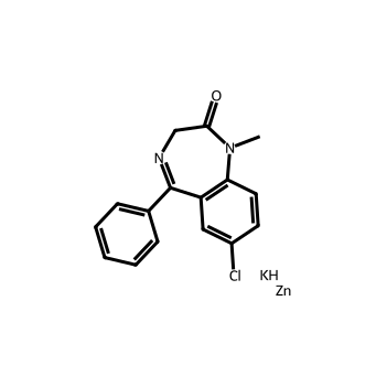 CN1C(=O)CN=C(c2ccccc2)c2cc(Cl)ccc21.[KH].[Zn]